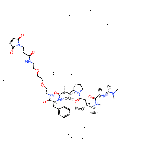 CC/C(=N\[C@H](C(=O)N(C)[C@@H]([C@@H](C)CC)[C@@H](CC(=O)N1CCC[C@H]1[C@H](OC)[C@@H](C)C(=O)N[C@@H](Cc1ccccc1)C(=O)NCCOCCOCCNC(=O)CCN1C(=O)C=CC1=O)OC)C(C)C)N(C)C